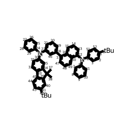 CC(C)(C)c1ccc(N(c2ccccc2)c2cccc3c(-c4cccc(N(c5ccccc5)c5ccc6c(c5)C(C)(C)c5cc(C(C)(C)C)ccc5-6)c4)cccc23)cc1